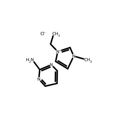 CC[n+]1ccn(C)c1.Nc1ncccn1.[Cl-]